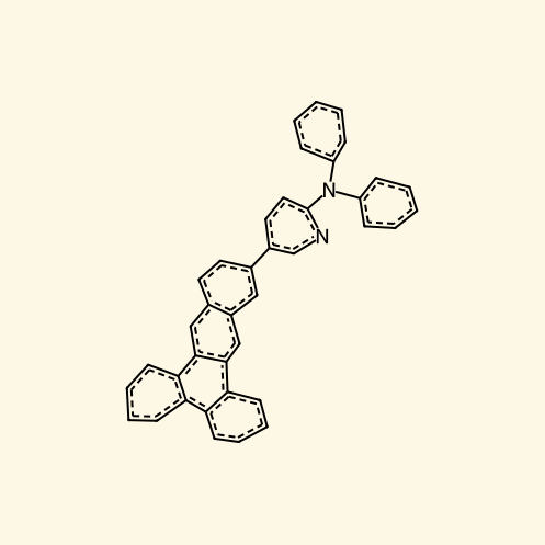 c1ccc(N(c2ccccc2)c2ccc(-c3ccc4cc5c6ccccc6c6ccccc6c5cc4c3)cn2)cc1